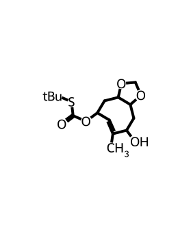 C/C1=C\C(OC(=O)SC(C)(C)C)CC2OCOC2CC1O